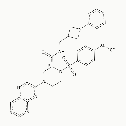 O=C(NCC1CN(c2ccccc2)C1)[C@H]1CN(c2cnc3cncnc3n2)CCN1S(=O)(=O)c1ccc(OC(F)(F)F)cc1